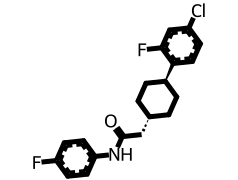 O=C(C[C@H]1CC[C@H](c2ccc(Cl)cc2F)CC1)Nc1ccc(F)cc1